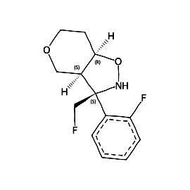 FC[C@]1(c2ccccc2F)NO[C@@H]2CCOC[C@@H]21